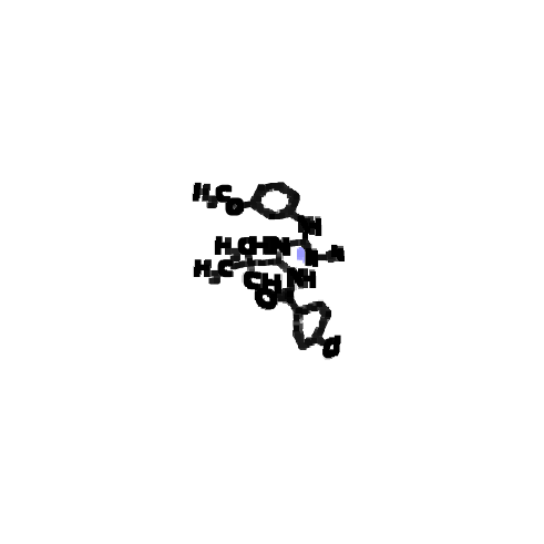 COc1cccc(N/C(=N\C#N)NC(NC(=O)c2ccc(Cl)cc2)C(C)(C)C)c1